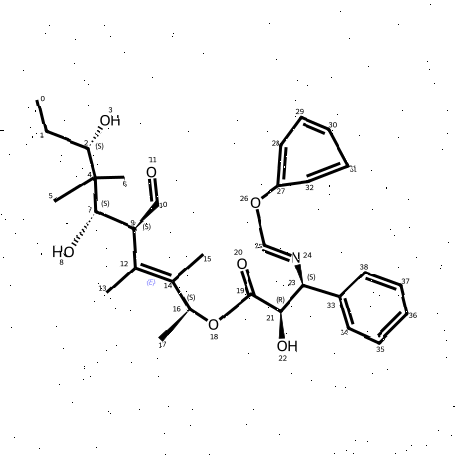 CC[C@H](O)C(C)(C)[C@@H](O)[C@@H](C=O)/C(C)=C(\C)[C@H](C)OC(=O)[C@H](O)[C@@H](N=COc1ccccc1)c1ccccc1